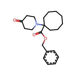 O=C1CCN(C2(C(=O)OCc3ccccc3)CCCCCCC2)CC1